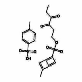 CCC(=O)C(=O)CCOS(=O)(=O)c1cc2c(C)cc1-2.Cc1ccc(S(=O)(=O)O)cc1